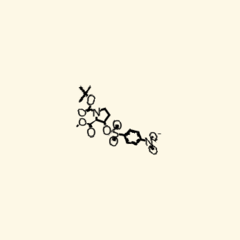 COC(=O)[C@@H]1C(OS(=O)(=O)c2ccc([N+](=O)[O-])cc2)CCN1C(=O)OC(C)(C)C